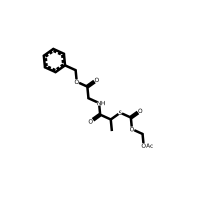 CC(=O)OCOC(=O)SC(C)C(=O)NCC(=O)OCc1ccccc1